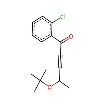 CC(C#CC(=O)c1ccccc1Cl)OC(C)(C)C